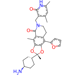 Cc1cc(C)c(CN2CCc3c(c(C)c4c(c3-c3ccco3)O[C@](C)([C@H]3CC[C@H](N)CC3)O4)C2=O)c(=O)[nH]1